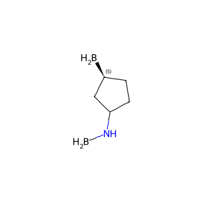 BNC1CC[C@H](B)C1